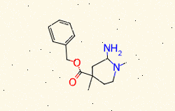 CN1CCC(C)(C(=O)OCc2ccccc2)CC1N